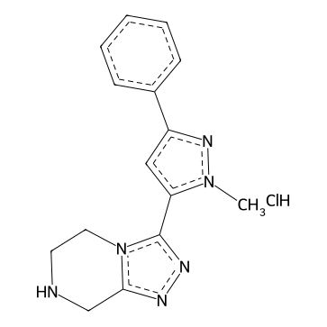 Cl.Cn1nc(-c2ccccc2)cc1-c1nnc2n1CCNC2